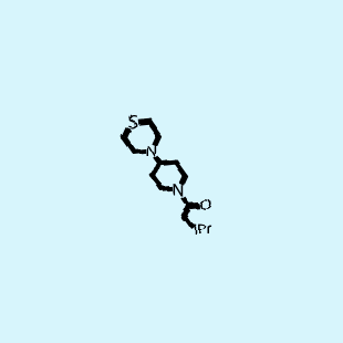 CC(C)CC(=O)N1CCC(N2CCSCC2)CC1